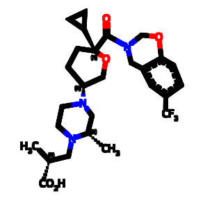 C[C@H](CN1CCN([C@@H]2CC[C@@](C(=O)N3COc4ccc(C(F)(F)F)cc4C3)(C3CC3)OC2)C[C@@H]1C)C(=O)O